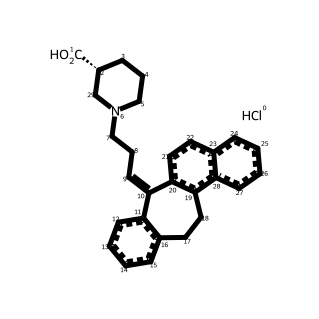 Cl.O=C(O)[C@@H]1CCCN(CCC=C2c3ccccc3CCc3c2ccc2ccccc32)C1